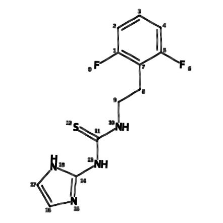 Fc1cccc(F)c1CCNC(=S)Nc1ncc[nH]1